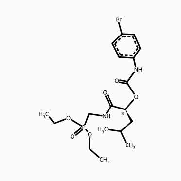 CCOP(=O)(CNC(=O)[C@H](CC(C)C)OC(=O)Nc1ccc(Br)cc1)OCC